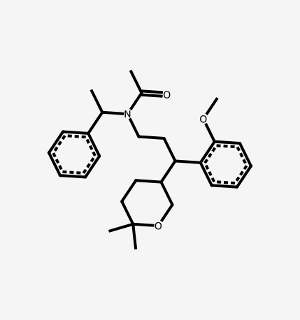 COc1ccccc1C(CCN(C(C)=O)C(C)c1ccccc1)C1CCC(C)(C)OC1